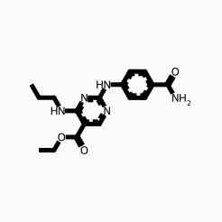 CCCNc1nc(Nc2ccc(C(N)=O)cc2)ncc1C(=O)OCC